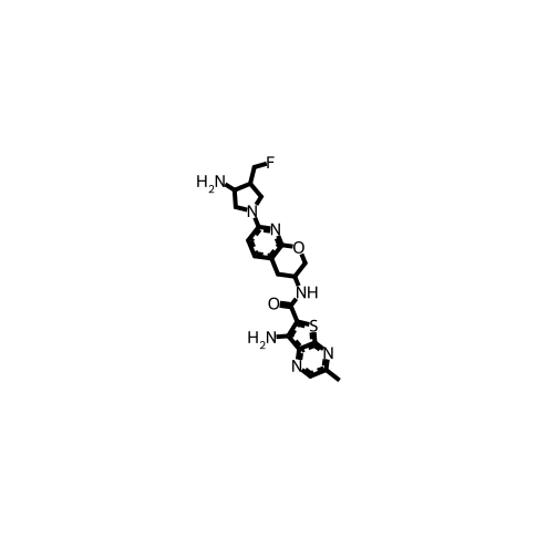 Cc1cnc2c(N)c(C(=O)NC3COc4nc(N5CC(N)C(CF)C5)ccc4C3)sc2n1